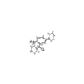 Nc1ccc(N2CCCCC2)cc1C(=O)N1CCCCC1